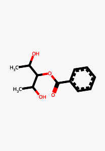 CC(O)C(OC(=O)c1ccccc1)C(C)O